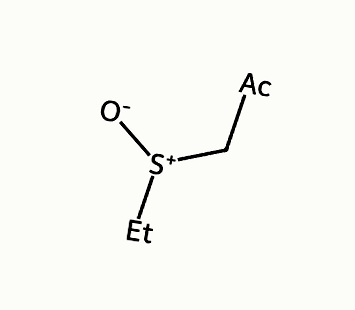 CC[S+]([O-])CC(C)=O